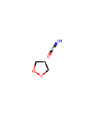 C1COOC1.N=C=O